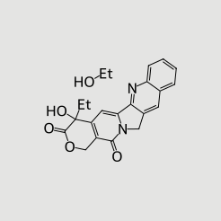 CCC1(O)C(=O)OCc2c1cc1n(c2=O)Cc2cc3ccccc3nc2-1.CCO